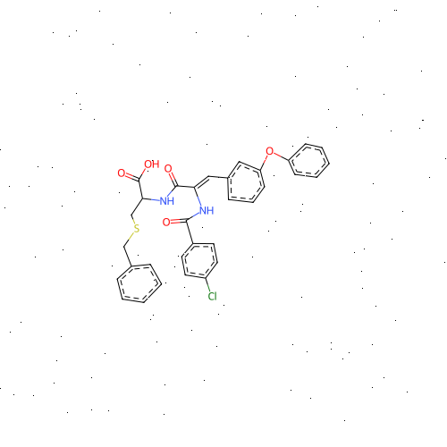 O=C(NC(CSCc1ccccc1)C(=O)O)C(=Cc1cccc(Oc2ccccc2)c1)NC(=O)c1ccc(Cl)cc1